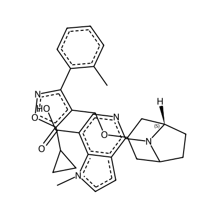 Cc1ccccc1-c1noc(C2CC2)c1COC1CC2CC[C@@H](C1)N2c1ncc(C(=O)O)c2c1ccn2C